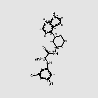 CCC[C@@H](Nc1cc(Cl)cc(Cl)c1)C(=O)N[C@@H]1CCCN(c2ncnc3[nH]ccc23)C1